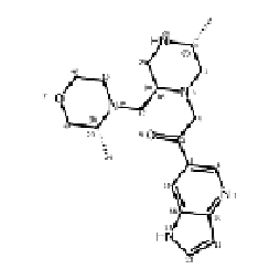 C[C@@H]1CN(CC(=O)c2cnc3cc[nH]c3c2)[C@@H](CN2CCOC[C@H]2C)CN1